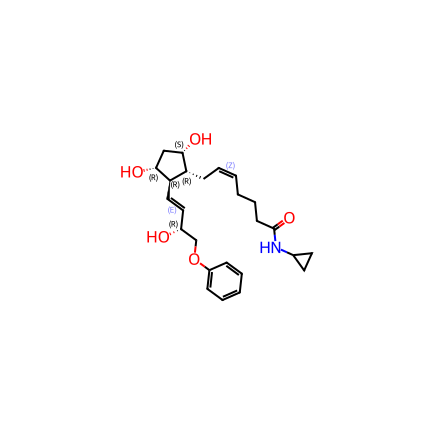 O=C(CCC/C=C\C[C@@H]1[C@@H](/C=C/[C@@H](O)COc2ccccc2)[C@H](O)C[C@@H]1O)NC1CC1